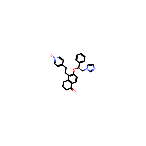 O=C1CCCc2c1ccc(O[C@H](Cn1ccnc1)c1ccccc1)c2CCc1cc[n+]([O-])cc1